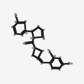 O=C(N1CC(=Cc2ccc(F)cc2F)C1)N1N=CCC1c1cccc(F)c1